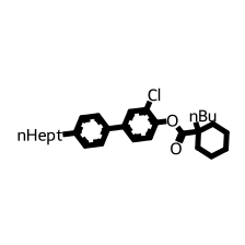 CCCCCCCc1ccc(-c2ccc(OC(=O)C3(CCCC)CCCCC3)c(Cl)c2)cc1